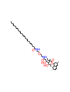 CCC=CCC=CCC=CCC=CCC=CCC=CCCC(=O)NCCOCCNC(=O)C[C@H](O)C[C@@H](O)CC[C@@H]1C2C(=C[C@H](C)CC2OC(=O)C(C)(C)CC)C=C[C@@H]1C